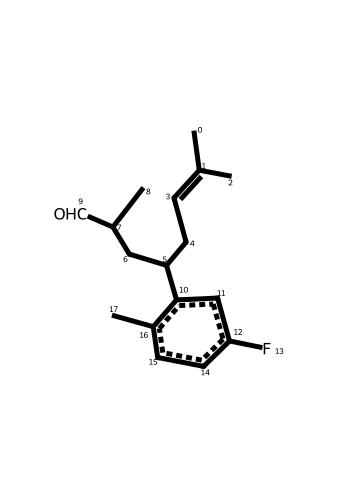 CC(C)=CCC(CC(C)C=O)c1cc(F)ccc1C